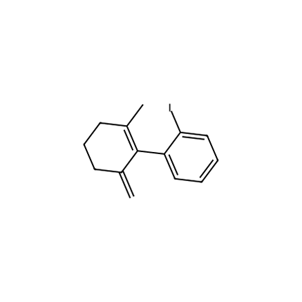 C=C1CCCC(C)=C1c1ccccc1I